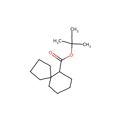 CC(C)(C)OC(=O)C1CCCCC12CCCC2